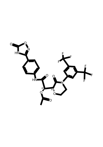 CC(=O)O[C@@H](C(=O)Nc1ccc(-c2noc(=O)[nH]2)cc1)[C@H]1OCCN(c2cc(C(F)(F)F)cc(C(F)(F)F)c2)C1=O